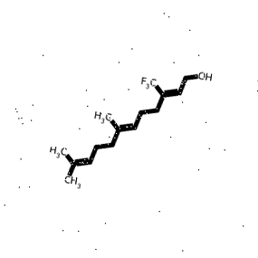 CC(C)=CCC/C(C)=C/CC/C(=C/CO)C(F)(F)F